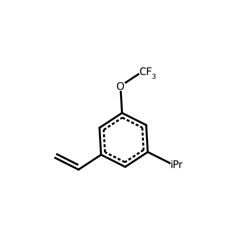 C=Cc1cc(OC(F)(F)F)cc(C(C)C)c1